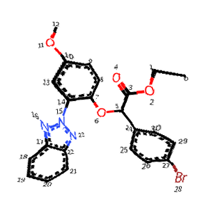 CCOC(=O)C(Oc1ccc(OC)cc1-n1nc2ccccc2n1)c1ccc(Br)cc1